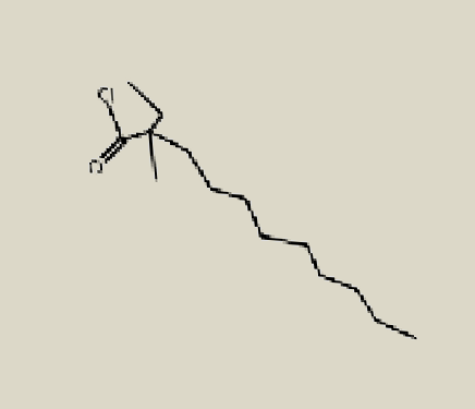 CCCCCCCCCC(C)(CC)C(=O)Cl